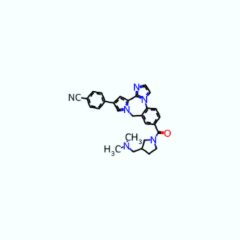 CN(C)CC1CCN(C(=O)c2ccc3c(c2)Cn2cc(-c4ccc(C#N)cc4)cc2-c2nccn2-3)C1